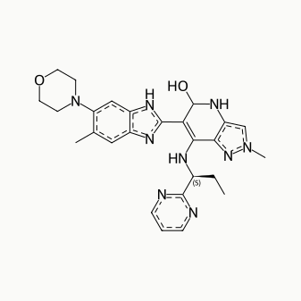 CC[C@H](NC1=C(c2nc3cc(C)c(N4CCOCC4)cc3[nH]2)C(O)Nc2cn(C)nc21)c1ncccn1